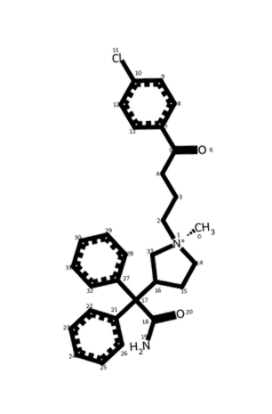 C[N@+]1(CCCC(=O)c2ccc(Cl)cc2)CCC(C(C(N)=O)(c2ccccc2)c2ccccc2)C1